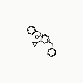 [O-][N+]1(Cc2ccccc2)C=CN(Cc2ccccc2)CC1C1CC1